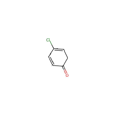 O=C1[C]=CC(Cl)=CC1